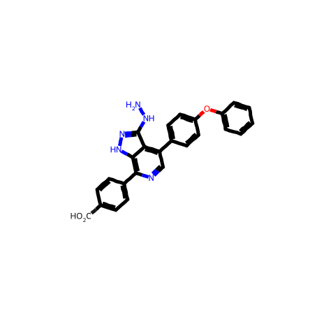 NNc1n[nH]c2c(-c3ccc(C(=O)O)cc3)ncc(-c3ccc(Oc4ccccc4)cc3)c12